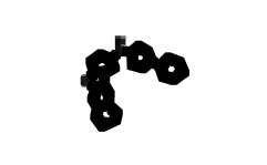 c1ccc(-c2ccc(Nc3ccc4oc5cc6ccccc6cc5c4c3)cc2)cc1